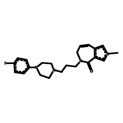 Cn1cc2c(c1)C(=O)N(CCCN1CCN(c3ccc(F)cc3)CC1)CC=C2